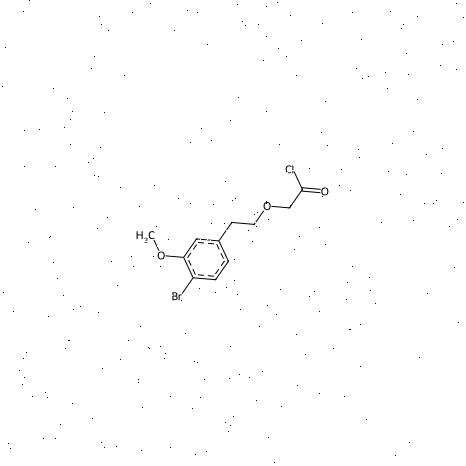 COc1cc(CCOCC(=O)Cl)ccc1Br